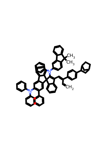 C=C/C(=C\C1=C(N(c2ccccc2)c2ccc3c(c2)-c2ccccc2C3(C)C)C2(c3ccccc31)c1ccccc1-c1cc(N(c3ccccc3)c3ccccc3)c(-c3ccccc3)cc12)c1ccc(C2CC3CCC2C3)cc1